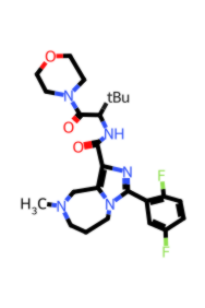 CN1CCCn2c(-c3cc(F)ccc3F)nc(C(=O)NC(C(=O)N3CCOCC3)C(C)(C)C)c2C1